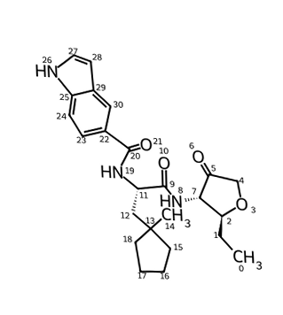 CC[C@@H]1OCC(=O)[C@H]1NC(=O)[C@H](CC1(C)CCCC1)NC(=O)c1ccc2[nH]ccc2c1